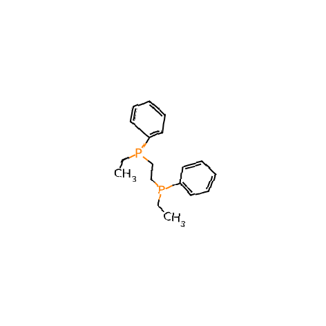 CCP(CCP(CC)c1ccccc1)c1ccccc1